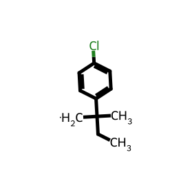 [CH2]C(C)(CC)c1ccc(Cl)cc1